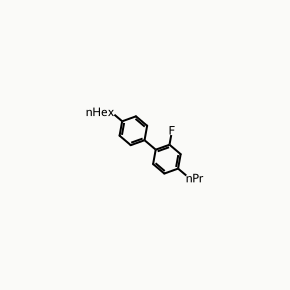 CCCCCCc1ccc(-c2ccc(CCC)cc2F)cc1